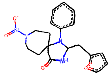 O=C1NC(Cc2ccco2)N(c2ccccc2)C12CCN([N+](=O)[O-])CC2